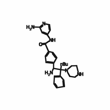 CCCCC(c1ccccc1)(C(N)c1ccc(C(=O)Nc2ccnc(N)c2)cc1)N1CCNCC1